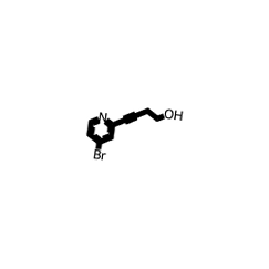 OCCC#Cc1cc(Br)ccn1